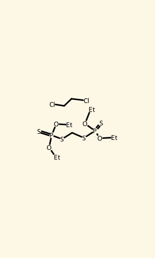 CCOP(=S)(OCC)SCSP(=S)(OCC)OCC.ClCCCl